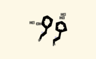 Cl.Cl.Cl.Cl.[P]/C=C/c1ccccc1.[P]/C=C/c1ccccc1